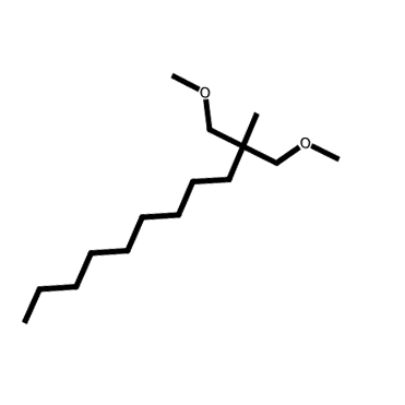 CCCCCCCCCC(C)(COC)COC